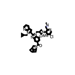 C/N=C/c1ncc(Cl)cc1N1CC(Cn2c(-c3cc4cccnc4n3CC3CC3)nc3cc(C(=O)N4CC5CC6CC4[C@H]65)cc(OC)c32)C1